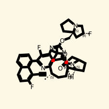 C#Cc1c(F)ccc2cccc(-c3nc4c5c(nc(OC[C@@]67CCCN6C[C@H](F)C7)nc5c3F)N3CC5CC[C@@H]([C@H]3CC[C@@H]4C)N5C(=O)OC(C)(C)C)c12